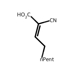 CCCCCC/C=C(\C#N)C(=O)O